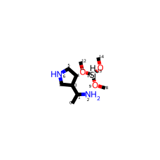 CC(N)C1CCNC1.CO[SiH](OC)OC